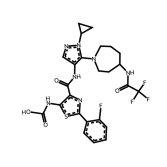 O=C(O)Nc1sc(-c2ccccc2F)nc1C(=O)Nc1cnn(C2CC2)c1N1CCCC(NC(=O)C(F)(F)F)CC1